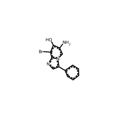 Nc1cn2c(-c3ccccc3)cnc2c(Br)c1O